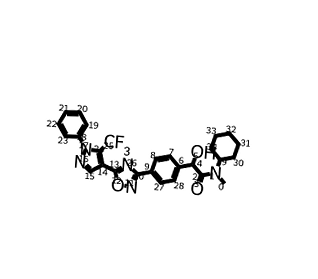 CN(C(=O)C(O)c1ccc(-c2noc(-c3cnn(-c4ccccc4)c3C(F)(F)F)n2)cc1)C1CCCCC1